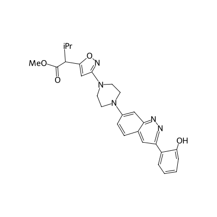 COC(=O)C(c1cc(N2CCN(c3ccc4cc(-c5ccccc5O)nnc4c3)CC2)no1)C(C)C